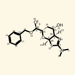 CN(C)C1=N[C@H]2[C@H](O[C@H]([C@@H](OCc3ccccc3)C(F)(F)F)C[C@@H]2O)S1